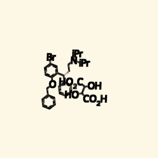 CC(C)N(CC[C@H](c1ccccc1)c1cc(Br)ccc1OCc1ccccc1)C(C)C.O=C(O)C(O)C(O)C(=O)O